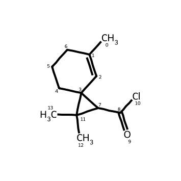 CC1=CC2(CCC1)C(C(=O)Cl)C2(C)C